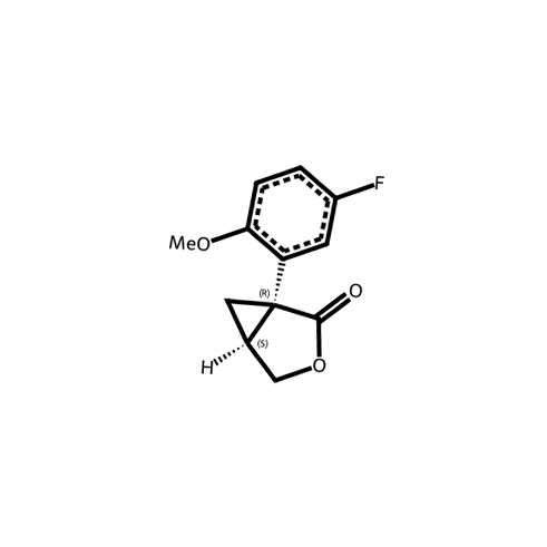 COc1ccc(F)cc1[C@@]12C[C@@H]1COC2=O